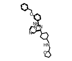 N[N+]12C=CN=CC1=C(C1CCC(CNCC3CCCO3)CC1)N=C2c1cccc(OCc2ccccc2)c1